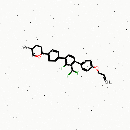 C=CCOc1ccc(-c2ccc(-c3ccc(C4CCC(CCC)CO4)cc3)c(F)c2C(F)F)cc1